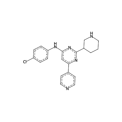 Clc1ccc(Nc2cc(-c3ccncc3)nc(C3CCCNC3)n2)cc1